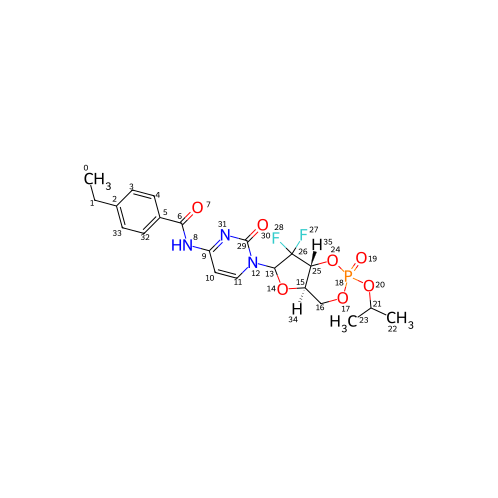 CCc1ccc(C(=O)Nc2ccn(C3O[C@@H]4COP(=O)(OC(C)C)O[C@H]4C3(F)F)c(=O)n2)cc1